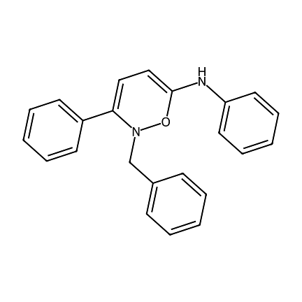 C1=C(Nc2ccccc2)ON(Cc2ccccc2)C(c2ccccc2)=C1